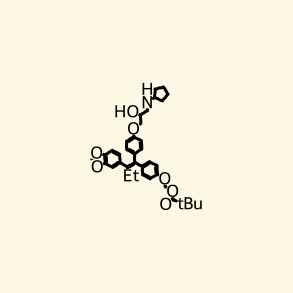 CCC(=C(c1ccc(OCOC(=O)C(C)(C)C)cc1)c1ccc(OCC(O)CNC2CCCC2)cc1)c1ccc2c(c1)OCO2